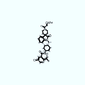 COCC(=O)N1CCC2(CC1)C(=O)N(C[C@H]1CC[C@H](NC(=O)c3cc(Cl)cnc3C(F)F)CC1)c1ccccc12